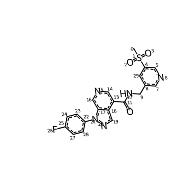 CS(=O)(=O)c1cncc(CNC(=O)c2cncc3c2cnn3-c2ccc(F)cc2)c1